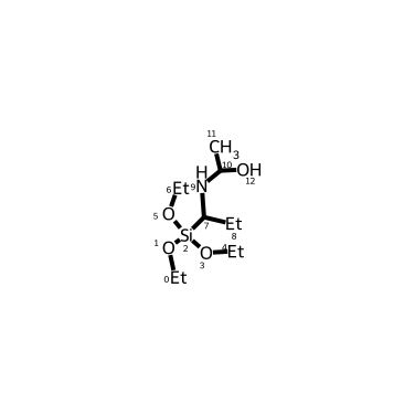 CCO[Si](OCC)(OCC)C(CC)NC(C)O